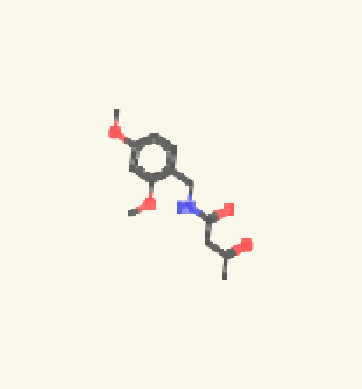 COc1ccc(CNC(=O)CC(C)=O)c(OC)c1